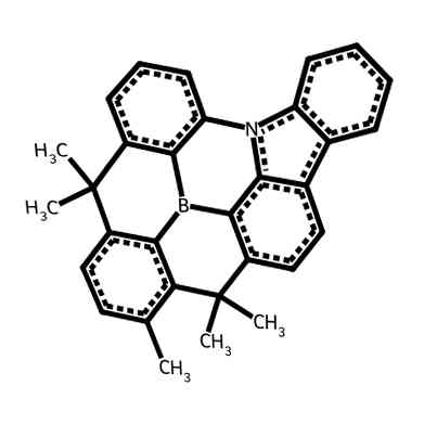 Cc1ccc2c3c1C(C)(C)c1ccc4c5ccccc5n5c4c1B3c1c-5cccc1C2(C)C